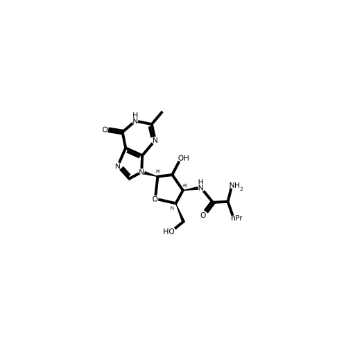 CCCC(N)C(=O)N[C@@H]1C(O)[C@H](n2cnc3c(=O)[nH]c(C)nc32)O[C@@H]1CO